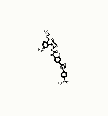 Cc1ccc(COCC(F)(F)F)c(N2C(=O)CS/C2=N\C(=O)Nc2ccc(-c3ncn(-c4ccc([S+]([O-])C(F)(F)F)cc4)n3)cc2F)c1